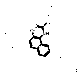 CC(=O)Nc1c([O])ccc2ccccc12